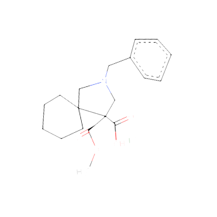 COC(=O)C1(C(=O)O)CN(Cc2ccccc2)CC12CCCCC2.Cl